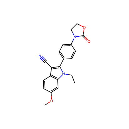 CCn1c(-c2ccc(N3CCOC3=O)cc2)c(C#N)c2ccc(OC)cc21